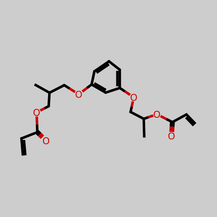 C=CC(=O)OCC(C)COc1cccc(OCC(C)OC(=O)C=C)c1